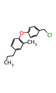 CCCc1ccc(Oc2ccc(CCl)cc2)c(C)c1